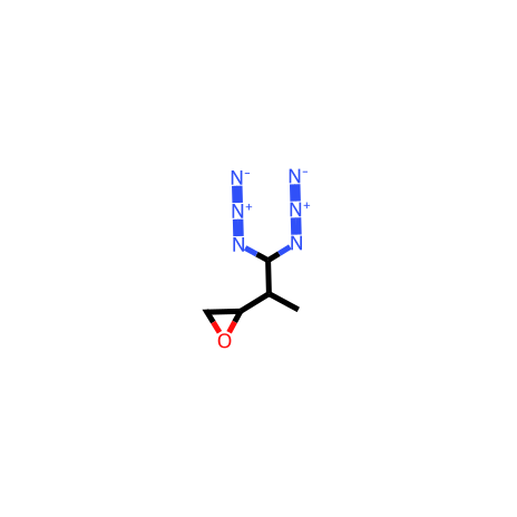 CC(C(N=[N+]=[N-])N=[N+]=[N-])C1CO1